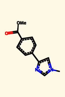 COC(=O)c1ccc(-c2cn(C)cn2)cc1